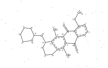 COc1cccc2c1C(=O)c1c(O)c3c(c(O)c1C2=O)CCCC3OC1CCCCO1